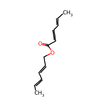 C/C=C/C=C/COC(=O)/C=C/C=C/C